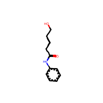 O=C(CCCCO)Nc1ccccc1